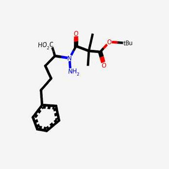 CC(C)(C)OC(=O)C(C)(C)C(=O)N(N)C(CCCc1ccccc1)C(=O)O